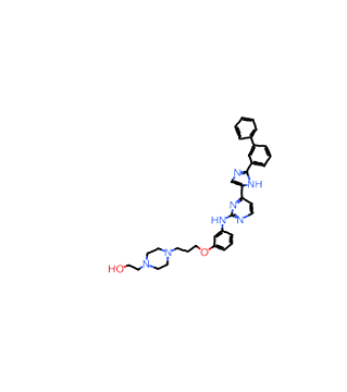 OCCN1CCN(CCCOc2cccc(Nc3nccc(-c4cnc(-c5cccc(-c6ccccc6)c5)[nH]4)n3)c2)CC1